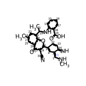 CN/C=C1/C=C(c2oc3c(C(C)Nc4ccccc4C(=O)O)cc(C)cc3c(=O)c2C#N)C=CC1=N